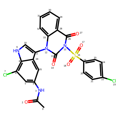 CC(=O)Nc1cc(Cl)c2[nH]cc(-n3c(=O)n(S(=O)(=O)c4ccc(Cl)cc4)c(=O)c4ccccc43)c2c1